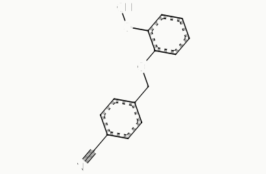 COc1[c]cccc1OCc1ccc(C#N)cc1